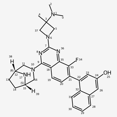 CN(C)C1(C)CN(c2nc(N3C[C@H]4CC[C@@H](C3)N4)c3ccc(-c4cc(O)cc5ccccc45)c(F)c3n2)C1